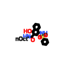 CCCCCCCCNC(=O)c1cc(NS(=O)(=O)c2ccccc2)c2ccccc2c1O